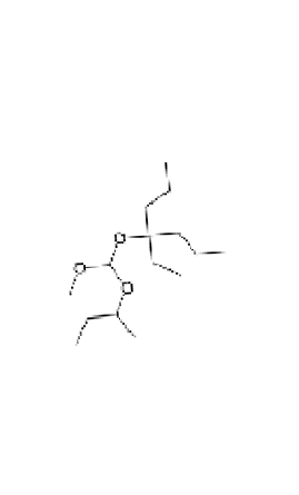 CCCC(CC)(CCC)OC(OC)OC(C)CC